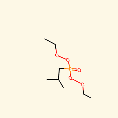 CCOOP(=O)([CH]C(C)C)OOCC